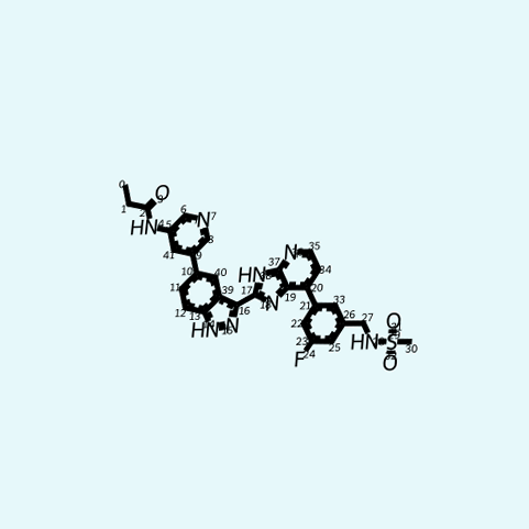 CCC(=O)Nc1cncc(-c2ccc3[nH]nc(-c4nc5c(-c6cc(F)cc(CNS(C)(=O)=O)c6)ccnc5[nH]4)c3c2)c1